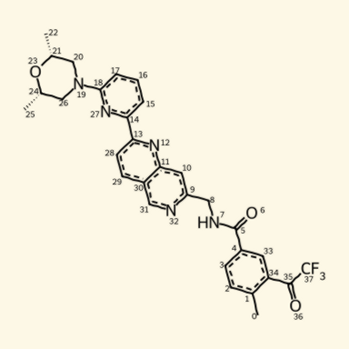 Cc1ccc(C(=O)NCc2cc3nc(-c4cccc(N5C[C@@H](C)O[C@@H](C)C5)n4)ccc3cn2)cc1C(=O)C(F)(F)F